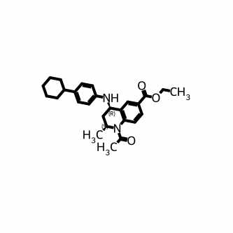 CCOC(=O)c1ccc2c(c1)[C@H](Nc1ccc(C3CCCCC3)cc1)C[C@H](C)N2C(C)=O